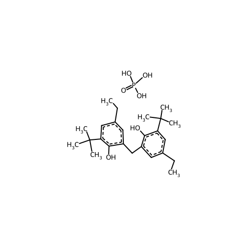 CCc1cc(Cc2cc(CC)cc(C(C)(C)C)c2O)c(O)c(C(C)(C)C)c1.O=P(O)(O)O